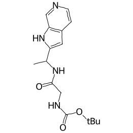 CC(NC(=O)CNC(=O)OC(C)(C)C)c1cc2ccncc2[nH]1